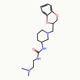 CN(C)CCNC(=O)NC1CCCN(CC2COc3ccccc3O2)C1